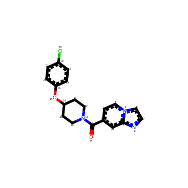 O=C(c1ccn2ccnc2c1)N1CCC(Oc2ccc(Cl)cc2)CC1